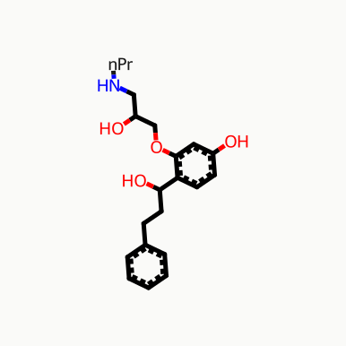 CCCNCC(O)COc1cc(O)ccc1C(O)CCc1ccccc1